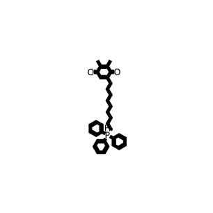 CC1=C(C)C(=O)C(CCCCCCCCC[PH](c2ccccc2)(c2ccccc2)c2ccccc2)=CC1=O